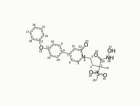 CC(CCn1ccc(-c2ccc(Oc3ccccc3)cc2)cc1=O)(C(=O)NO)S(C)(=O)=O